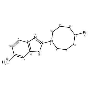 CCC1CCCN(c2nc3ccc(C)cc3s2)CCC1